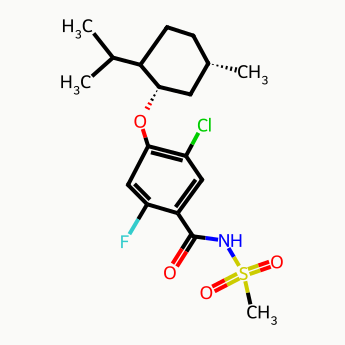 CC(C)C1CC[C@H](C)C[C@@H]1Oc1cc(F)c(C(=O)NS(C)(=O)=O)cc1Cl